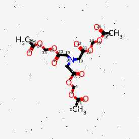 CC(=O)OCOC(=O)CN(CC(=O)OCOC(C)=O)CC(=O)OCOC(C)=O